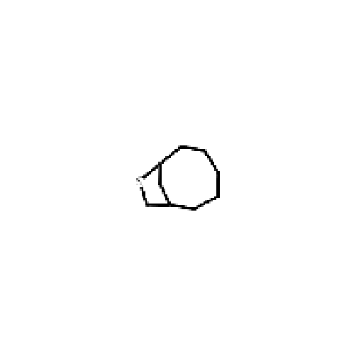 C1CCC2CSC(CC1)C2